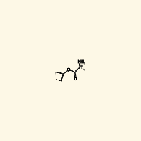 C[C@@H](N)C(=O)OC1CCC1